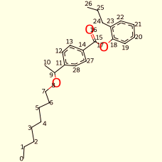 CCCCCCCCOC(C)c1ccc(C(=O)Oc2ccccc2CCC)cc1